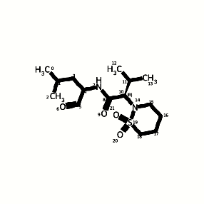 CC(C)CC(C=O)NC(=O)[C@@H](C(C)C)N1CCCCS1(=O)=O